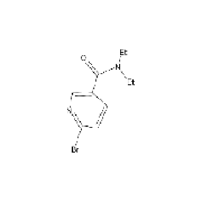 CCN(CC)C(=O)c1ccc(Br)nc1